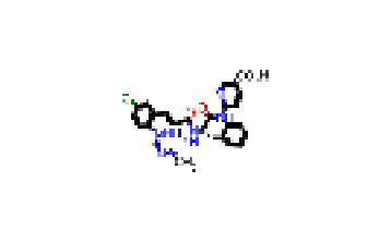 C=N/N=C\N(N)c1ccc(Cl)cc1/C=C/C(=O)N[C@@H](Cc1ccccc1)C(=O)Nc1ccc(C(=O)O)cn1